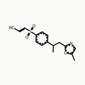 Cc1cnc(CC(C)c2ccc(S(=O)(=O)/C=C/C#N)cc2)o1